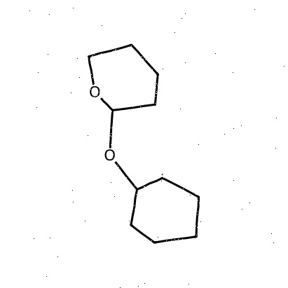 [CH]1CCCCC1OC1CCCCO1